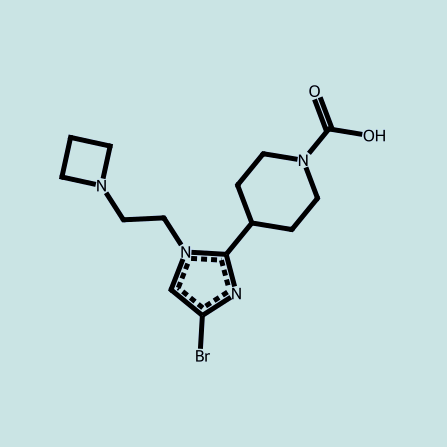 O=C(O)N1CCC(c2nc(Br)cn2CCN2CCC2)CC1